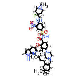 C=C(C)CCC1=C(CN2CCN(c3ccc(C(=O)NS(=O)(=O)c4ccc(NCC5(F)CCN(C)CC5)c([N+](=O)[O-])c4)c(Oc4cnc5[nH]ccc5c4)c3)CC2)CCC(C)(C)C1